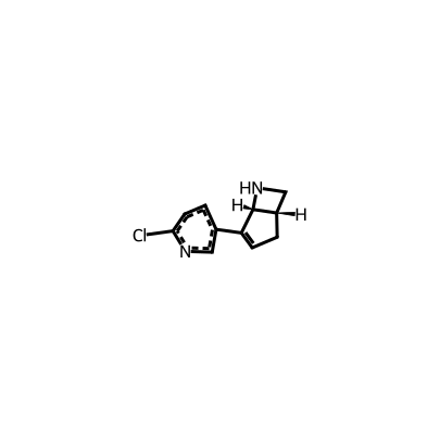 Clc1ccc(C2=CC[C@H]3CN[C@@H]23)cn1